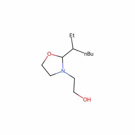 CCCCC(CC)C1OCCN1CCO